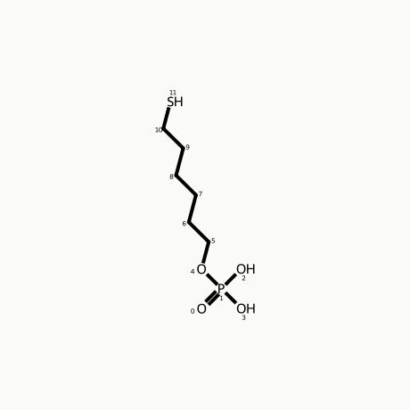 O=P(O)(O)OCCCCCCS